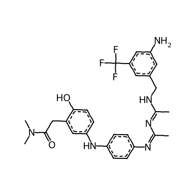 CC(=N/c1ccc(Nc2ccc(O)c(CC(=O)N(C)C)c2)cc1)/N=C(\C)NCc1cc(N)cc(C(F)(F)F)c1